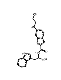 CCCCC(Cc1c[nH]c2ccccc12)NC(=O)c1cc2ccc(NCCO)cc2s1